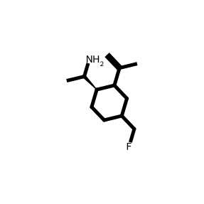 C=C(C)C1CC(CF)CC[C@H]1C(C)N